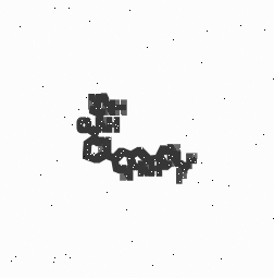 O=C(Nc1cnc[nH]1)c1cccc(-c2cnc3[nH]c(-c4cnn(C(F)F)c4)cc3c2)n1